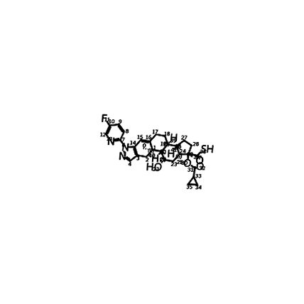 C[C@]12Cc3cnn(-c4ccc(F)cn4)c3C=C1CC[C@@H]1[C@@H]2[C@@H](O)C[C@@]2(C)[C@H]1CC[C@]2(OC(=O)C1CC1)C(=O)S